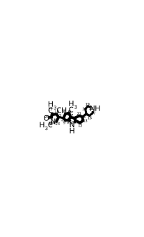 Cc1c(-c2cc(C)c3c(c2)[nH]c2ccc(C4CCNCC4)cc23)cn(C)c(=O)c1C